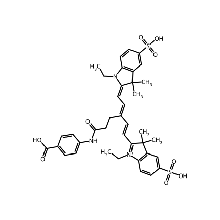 CCN1/C(=C/C=C(/C=C/C2=[N+](CC)c3ccc(S(=O)(=O)O)cc3C2(C)C)CCC(=O)Nc2ccc(C(=O)O)cc2)C(C)(C)c2cc(S(=O)(=O)O)ccc21